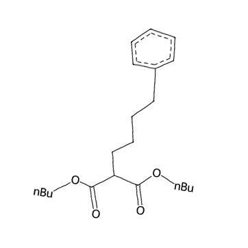 CCCCOC(=O)C(CCCCc1ccccc1)C(=O)OCCCC